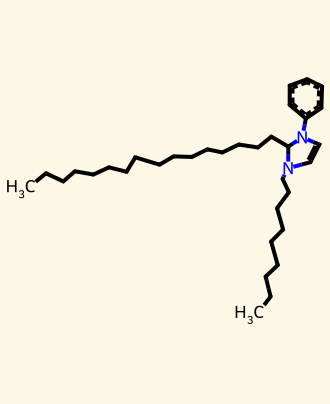 CCCCCCCCCCCCCCCCC1N(CCCCCCCCC)C=CN1c1ccccc1